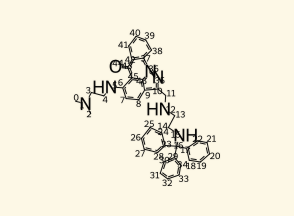 CN(C)CCNc1ccc2c(CNCCNC(c3ccccc3)(c3ccccc3)c3ccccc3)nn3c4ccccc4c(=O)c1c23